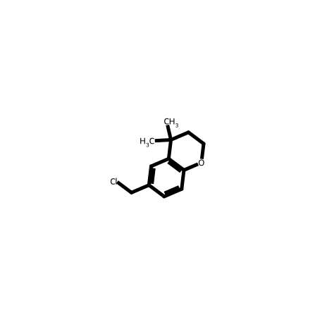 CC1(C)CCOc2ccc(CCl)cc21